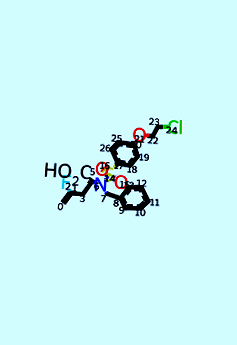 C=C(F)C[C@H](C(=O)O)N(Cc1ccccc1)S(=O)(=O)c1ccc(OCCCl)cc1